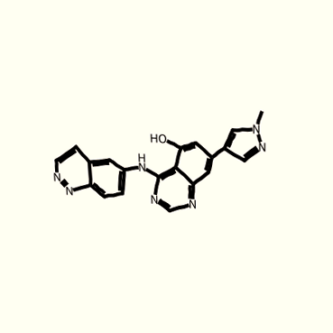 Cn1cc(-c2cc(O)c3c(Nc4ccc5nnccc5c4)ncnc3c2)cn1